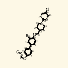 [O-][S+]1COc2ccc(-c3ccc(OCC4CCN(c5ncc(Cl)cn5)CC4)c(F)c3)cc21